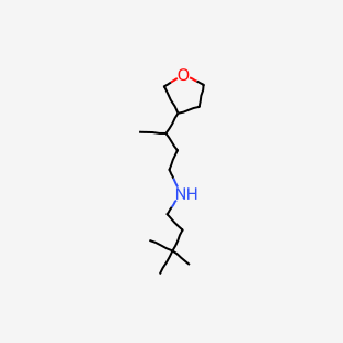 CC(CCNCCC(C)(C)C)C1CCOC1